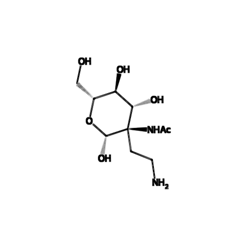 CC(=O)N[C@@]1(CCN)[C@H](O)O[C@H](CO)[C@@H](O)[C@@H]1O